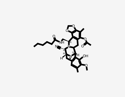 CCCCCC(=O)NC[C@H]1c2c(c(OC(C)=O)c(C)c3c2OCO3)CC2[C@@H]3c4c(cc(C)c(OC)c4O)C[C@H]([C@H](C#N)N21)N3C